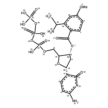 COc1ccc(C(=O)O[C@@H]2C[C@H](n3ccc(N)nc3=O)OC2COP(=O)(O)OP(=O)(O)OP(=O)(O)O)c(C(C)N)c1